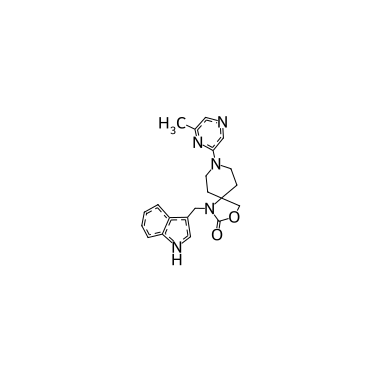 Cc1cncc(N2CCC3(CC2)COC(=O)N3Cc2c[nH]c3ccccc23)n1